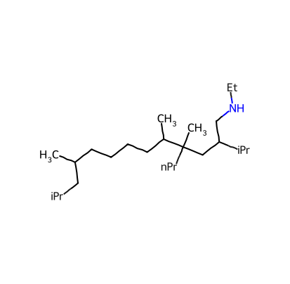 CCCC(C)(CC(CNCC)C(C)C)C(C)CCCCC(C)CC(C)C